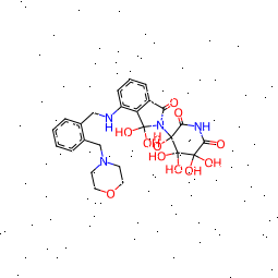 O=C1c2cccc(NCc3ccccc3CN3CCOCC3)c2C(O)(O)N1C1(O)C(=O)NC(=O)C(O)(O)C1(O)O